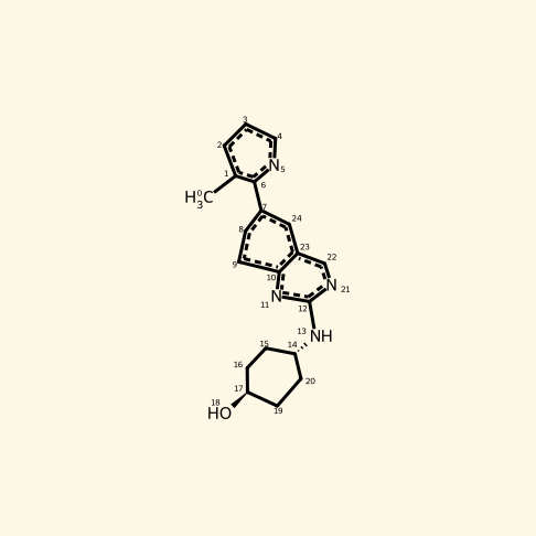 Cc1cccnc1-c1ccc2nc(N[C@H]3CC[C@H](O)CC3)ncc2c1